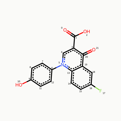 O=C(O)c1cn(-c2ccc(O)cc2)c2ccc(F)cc2c1=O